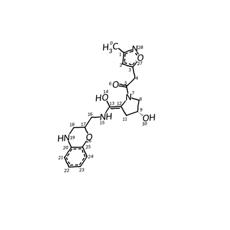 Cc1cc(CC(=O)N2C[C@H](O)C/C2=C(/O)NCC2CNc3ccccc3O2)on1